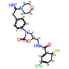 N=C(Cc1ccc(N2CC(CNC(=O)C3=CC(Cl)=CCC3=S)OC2=O)cc1)N1CCOCC1